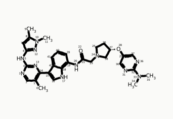 Cc1cnc(Nc2cc(C)n(C)n2)nc1-c1c[nH]c2c(NC(=O)CN3CC[C@H](Oc4cnc(N(C)C)nc4)C3)cccc12